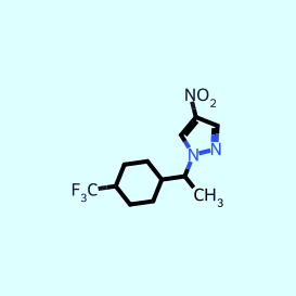 CC(C1CCC(C(F)(F)F)CC1)n1cc([N+](=O)[O-])cn1